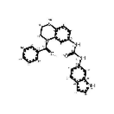 O=C(Nc1ccc2c(c1)N(C(=O)c1ccccc1)CCS2)Nc1ccc2cc[nH]c2c1